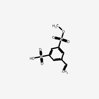 C=Cc1cc(S(=O)(=O)O)cc(S(=O)(=O)OC)c1